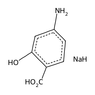 Nc1ccc(C(=O)O)c(O)c1.[NaH]